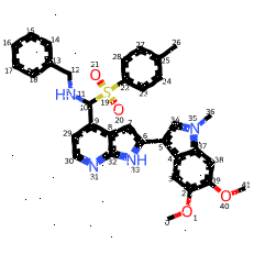 COc1cc2c(-c3cc4c(C(NCc5ccccc5)S(=O)(=O)c5ccc(C)cc5)ccnc4[nH]3)cn(C)c2cc1OC